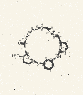 CN1CCN2Cc3cccc(c3)Nc3nccc(n3)-c3ccc(nc3)NCCCNC(=O)CC1C2